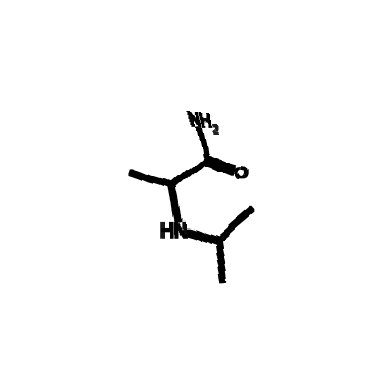 CC(C)NC(C)C(N)=O